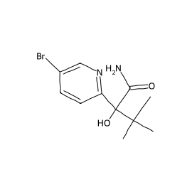 CC(C)(C)C(O)(C(N)=O)c1ccc(Br)cn1